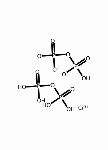 O=P(O)(O)OP(=O)(O)O.O=P([O-])([O-])OP(=O)([O-])O.[Cr+3]